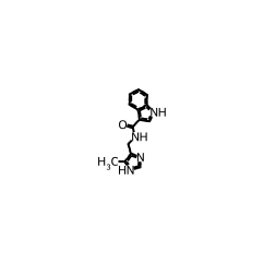 Cc1[nH]cnc1CNC(=O)c1c[nH]c2ccccc12